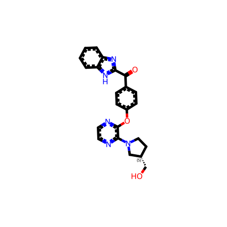 O=C(c1ccc(Oc2nccnc2N2CC[C@H](CO)C2)cc1)c1nc2ccccc2[nH]1